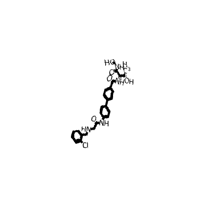 C[C@@H](O)[C@H](NC(=O)c1ccc(-c2ccc(NC(=O)CNCc3ccccc3Cl)cc2)cc1)C(=O)NO